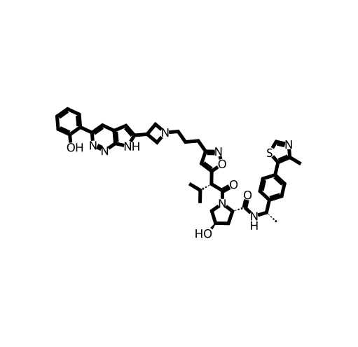 Cc1ncsc1-c1ccc([C@H](C)NC(=O)[C@@H]2C[C@@H](O)CN2C(=O)[C@@H](c2cc(CCCN3CC(c4cc5cc(-c6ccccc6O)nnc5[nH]4)C3)no2)C(C)C)cc1